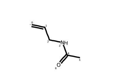 [CH]=CCNC(C)=O